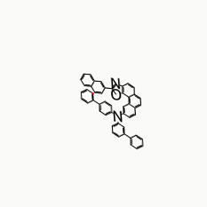 c1ccc(-c2ccc(N(c3cccc(-c4ccccc4)c3)c3ccc4ccc5ccc6nc(-c7ccc8ccccc8c7)oc6c5c4c3)cc2)cc1